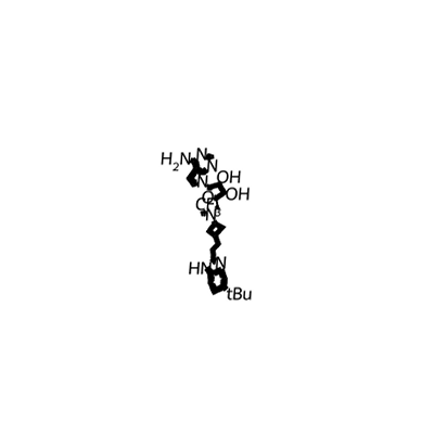 CC(C)(C)c1ccc2[nH]c(CCC3CC(N(C[C@H]4O[C@@H](n5ccc6c(N)ncnc65)[C@H](O)[C@@H]4O)CC(F)(F)F)C3)nc2c1